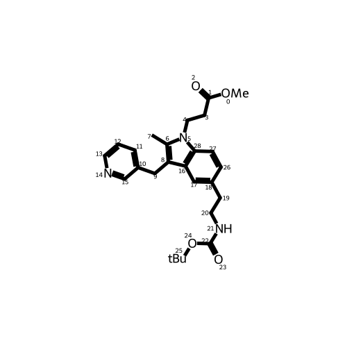 COC(=O)CCn1c(C)c(Cc2cccnc2)c2cc(CCNC(=O)OC(C)(C)C)ccc21